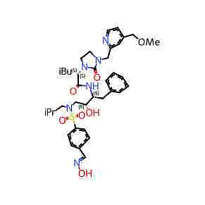 CC[C@H](C)[C@@H](C(=O)N[C@@H](Cc1ccccc1)[C@H](O)CN(CC(C)C)S(=O)(=O)c1ccc(C=NO)cc1)N1CCN(Cc2cc(COC)ccn2)C1=O